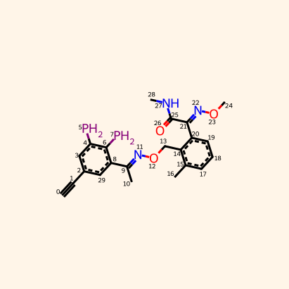 C#Cc1cc(P)c(P)c(/C(C)=N/OCc2c(C)cccc2/C(=N\OC)C(=O)NC)c1